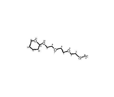 CC(=O)SCCOCCOCCOC1CCCCO1